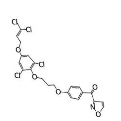 O=C(c1ccc(OCCCOc2c(Cl)cc(OCC=C(Cl)Cl)cc2Cl)cc1)c1ccon1